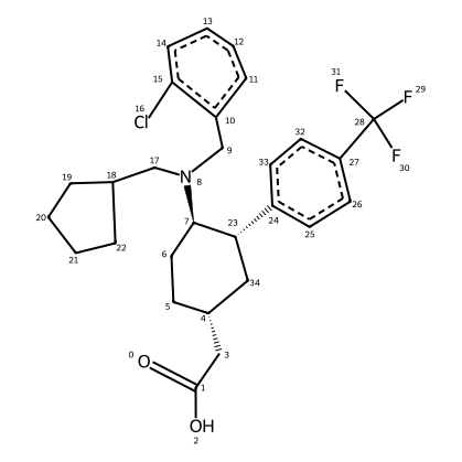 O=C(O)C[C@@H]1CC[C@@H](N(Cc2ccccc2Cl)CC2CCCC2)[C@H](c2ccc(C(F)(F)F)cc2)C1